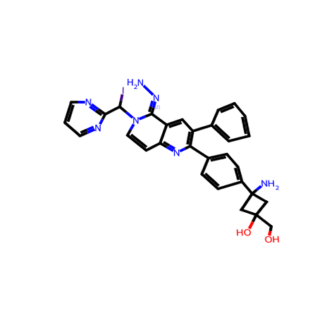 N/N=c1/c2cc(-c3ccccc3)c(-c3ccc(C4(N)CC(O)(CO)C4)cc3)nc2ccn1C(I)c1ncccn1